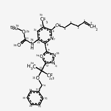 C=CCCCOc1nc(-c2nnc(C(C)(OCc3ccccc3)C(F)(F)F)o2)c(NC(=O)OC(C)(C)C)cc1C(F)(F)F